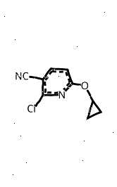 N#Cc1ccc(OC2CC2)nc1Cl